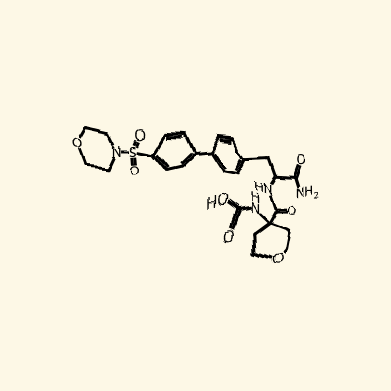 NC(=O)C(Cc1ccc(-c2ccc(S(=O)(=O)N3CCOCC3)cc2)cc1)NC(=O)C1(NC(=O)O)CCOCC1